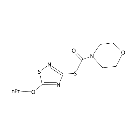 CCCOc1nc(SC(=O)N2CCOCC2)ns1